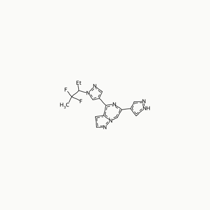 CCC(n1cc(-c2nc(-c3cn[nH]c3)cn3nccc23)cn1)C(C)(F)F